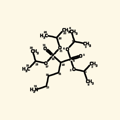 CC(C)OP(=O)(OC(C)C)C(CCCN)P(=O)(OC(C)C)OC(C)C